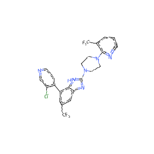 FC(F)(F)c1cc(-c2ccncc2Cl)c2[nH]c(N3CCN(c4ncccc4C(F)(F)F)CC3)nc2c1